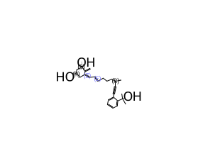 C=C1/C(=C\C=C\CCC[C@@H](C)C#Cc2ccccc2C(C)(C)O)C[C@@H](O)C[C@@H]1O